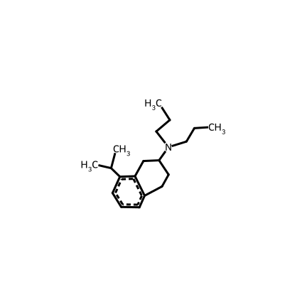 CCCN(CCC)C1CCc2cccc(C(C)C)c2C1